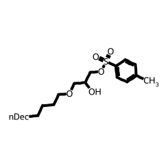 CCCCCCCCCCCCCCOCC(O)COS(=O)(=O)c1ccc(C)cc1